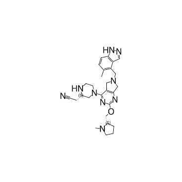 Cc1ccc2[nH]ncc2c1CN1Cc2nc(OC[C@@H]3CCCN3C)nc(N3CCN[C@@H](CC#N)C3)c2C1